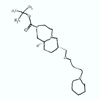 CC(C)(C)OC(=O)N1CCN2C[C@H](COCCCN3CCCCC3)CC[C@H]2C1